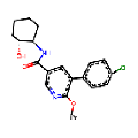 CC(C)Oc1ncc(C(=O)N[C@@H]2CCCC[C@H]2O)cc1-c1ccc(Cl)cc1